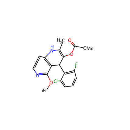 COC(=O)OC1=C(C)Nc2ccnc(OC(C)C)c2C1c1c(F)cccc1Cl